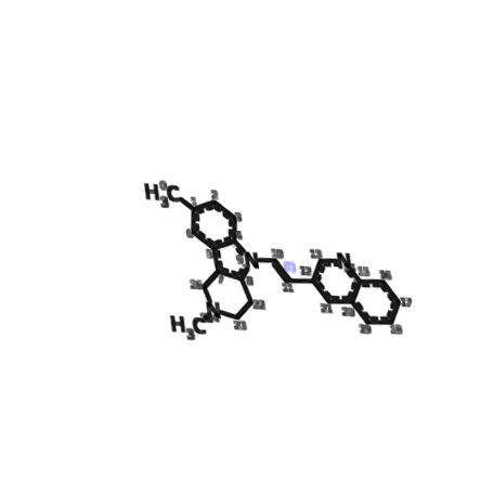 Cc1ccc2c(c1)c1c(n2/C=C/c2cnc3ccccc3c2)CCN(C)C1